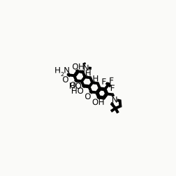 CN(C)[C@@H]1C(O)=C(C(N)=O)C(=O)[C@@]2(O)C(O)=C3C(=O)c4c(O)cc(CN5CCC(C)(C)C5)c(C(F)(F)F)c4C[C@H]3C[C@@H]12